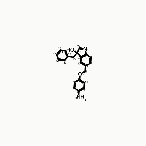 Nc1ccc(OCc2ccc3c(c2)C(O)(Cc2ccccc2)C=N3)cc1